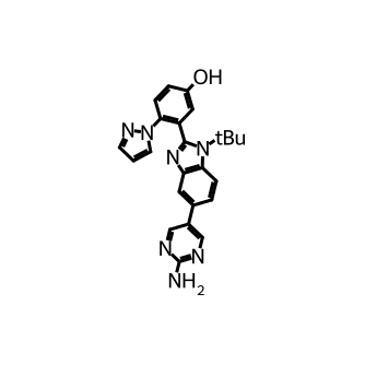 CC(C)(C)n1c(-c2cc(O)ccc2-n2cccn2)nc2cc(-c3cnc(N)nc3)ccc21